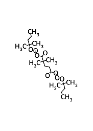 CCCC(C)(C)OOOC(=O)CCC(C)(C)C(=O)OOOC(C)(C)CCC